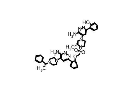 C[C@H](c1ccccc1)N1CCN(c2cc(-c3ccccc3OCS(=O)(=O)N3CCN(c4cc(-c5ccccc5O)nnc4N)C[C@H]3C)nnc2N)CC1